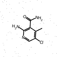 Cc1c(Cl)cnc(N)c1C(N)=O